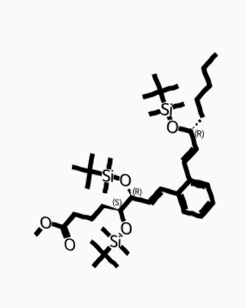 CCCCC[C@H](C=Cc1ccccc1C=C[C@@H](O[Si](C)(C)C(C)(C)C)[C@H](CCCC(=O)OC)O[Si](C)(C)C(C)(C)C)O[Si](C)(C)C(C)(C)C